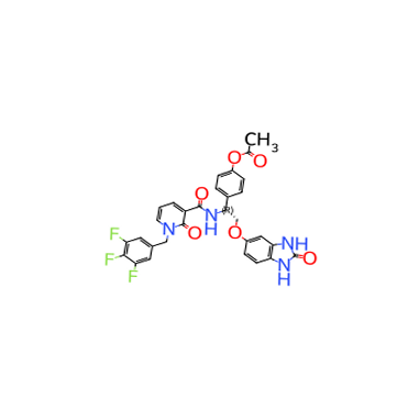 CC(=O)Oc1ccc([C@H](COc2ccc3[nH]c(=O)[nH]c3c2)NC(=O)c2cccn(Cc3cc(F)c(F)c(F)c3)c2=O)cc1